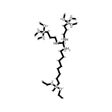 CCO[Si](C)(CCCCCCCC[SiH2]C(NCCC[Si](OC)(OC)OC)NCCC[Si](OC)(OC)OC)OCC